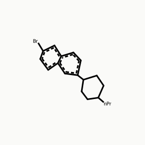 CCCC1CCC(c2ccc3cc(Br)ccc3c2)CC1